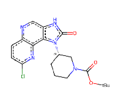 CC(C)(C)OC(=O)N1CCC[C@H](n2c(=O)[nH]c3cnc4ccc(Cl)nc4c32)C1